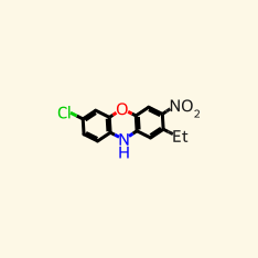 CCc1cc2c(cc1[N+](=O)[O-])Oc1cc(Cl)ccc1N2